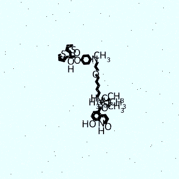 CN(CCCOCCCCCCNC[C@H](O[Si](C)(C)C(C)(C)C)c1ccc(O)c2[nH]c(=O)ccc12)[C@H]1CC[C@H](OC(=O)C(O)(c2cccs2)c2cccs2)CC1